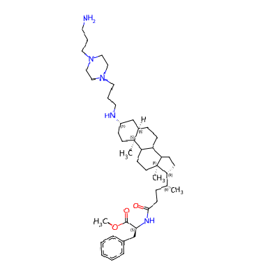 COC(=O)[C@H](Cc1ccccc1)NC(=O)CC[C@@H](C)[C@H]1CCC2C3CC[C@@H]4C[C@@H](NCCCN5CCN(CCCN)CC5)CC[C@]4(C)C3CC[C@@]21C